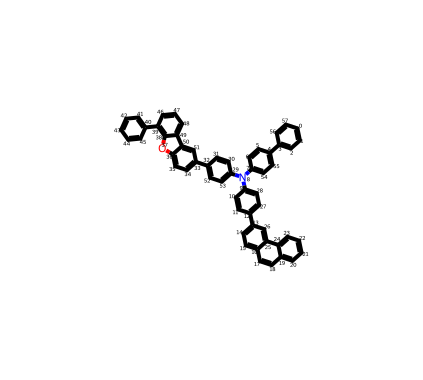 c1ccc(-c2ccc(N(c3ccc(-c4ccc5ccc6ccccc6c5c4)cc3)c3ccc(-c4ccc5oc6c(-c7ccccc7)cccc6c5c4)cc3)cc2)cc1